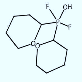 OP(F)(F)(C1CCCCO1)C1CCCCO1